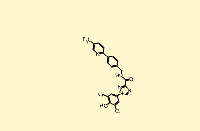 O=C(NCc1ccc(-c2ccc(C(F)(F)F)cn2)cc1)c1ncn(-c2cc(Cl)c(O)c(Cl)c2)n1